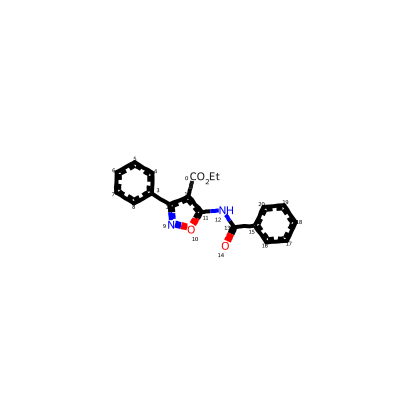 CCOC(=O)c1c(-c2ccccc2)noc1NC(=O)c1ccccc1